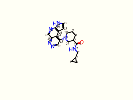 O=C(NCC1CC1)C1CCCN(c2cnnc3cnc4[nH]ccc4c23)C1